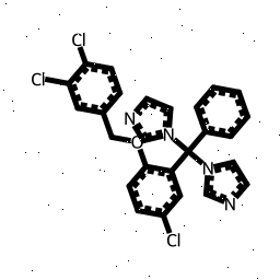 Clc1ccc(OCc2ccc(Cl)c(Cl)c2)c(C(c2ccccc2)(n2ccnc2)n2ccnc2)c1